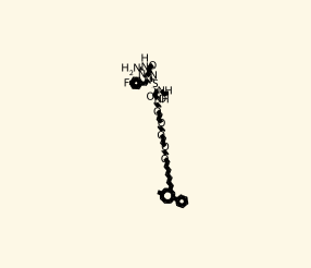 CC(=O)N[C@@H](CSc1nc2c(=O)[nH]c(N)nc2n1Cc1ccc(F)cc1)C(=O)NCCOCCOCCOCCOCCOCCCCCCCC1CC(C)CCCC(C2CCCCC2)C1